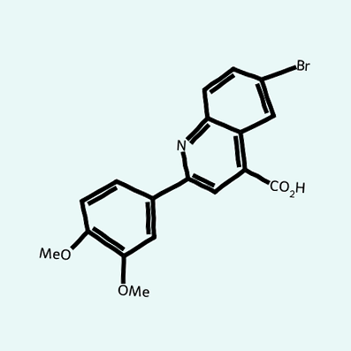 COc1ccc(-c2cc(C(=O)O)c3cc(Br)ccc3n2)cc1OC